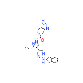 O=C(Cn1cc(-c2cnc(NC3Cc4ccccc4C3)nc2)c(CC2CC2)n1)N1CCc2[nH]nnc2C1